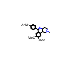 COc1cc2c(cc1OC)C1CN(C)CCC1N=C2c1ccc(NC(C)=O)cc1